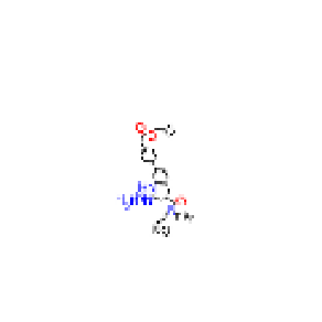 CCCN(CCCN=O)C(=O)C1=Cc2ccc(-c3ccc(CC(=O)OCC4CCC4)cc3)cc2NC(N=NN)C1